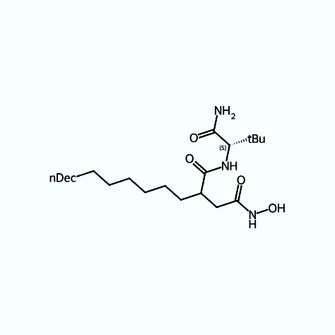 CCCCCCCCCCCCCCCCC(CC(=O)NO)C(=O)N[C@H](C(N)=O)C(C)(C)C